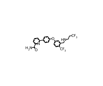 NC(=O)c1cccc(-c2ccc(Oc3ccc(C(F)(F)F)c(CNCCC(F)(F)F)c3)cc2)n1